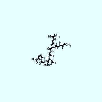 C=CC(=O)NCC(=O)N[C@H](CCCNC(=N)N)C(=O)NCC(=O)N[C@H](CC(=O)O)C(=O)N[C@H](CO)C(=O)N1CCC[C@@H]1C(=O)O